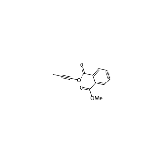 CC#COC(=O)c1ccccc1C(=O)OC